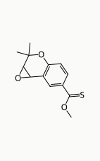 COC(=S)c1ccc2c(c1)C1OC1C(C)(C)O2